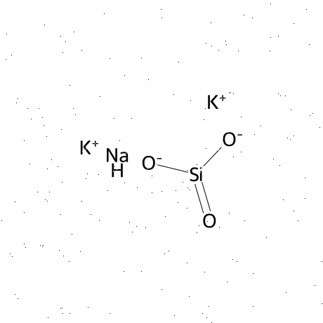 O=[Si]([O-])[O-].[K+].[K+].[NaH]